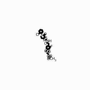 CS(=O)(=O)OCCS(=O)(=O)c1ccc(CC(=O)Nc2nc3c(s2)C(=O)N(c2ccccc2Cl)CC3)c(F)c1